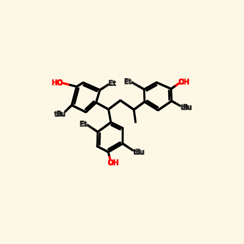 CCc1cc(O)c(C(C)(C)C)cc1C(C)CC(c1cc(C(C)(C)C)c(O)cc1CC)c1cc(C(C)(C)C)c(O)cc1CC